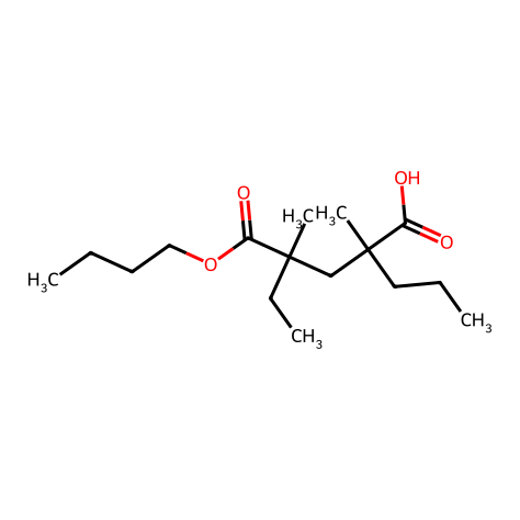 CCCCOC(=O)C(C)(CC)CC(C)(CCC)C(=O)O